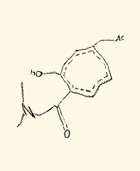 CC(=O)c1ccc(C(=O)N(C)C)c(O)c1